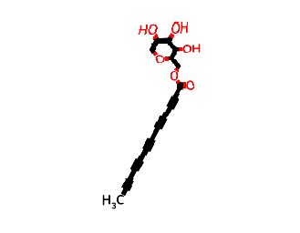 CC#CC#CC#CC#CC#CC(=O)OCC1OCC(O)C(O)C1O